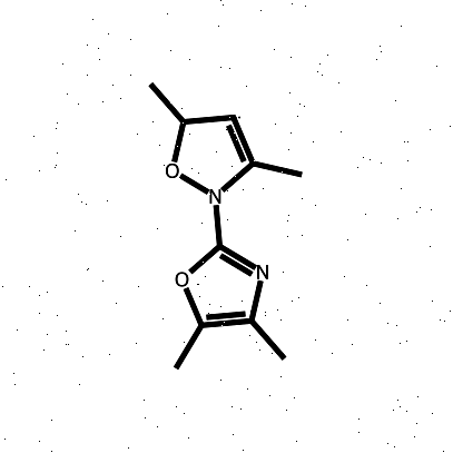 CC1=[C]C(C)ON1c1nc(C)c(C)o1